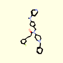 CN(c1ccncc1)c1ccc(CN(C(=O)C=Cc2cccc(F)c2)C2CCN(Cc3ccccc3)CC2)cc1